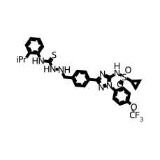 CC(C)c1ccccc1NC(=S)NNCc1ccc(-c2nc(NS(=O)(=O)C3CC3)n(-c3ccc(OC(F)(F)F)cc3)n2)cc1